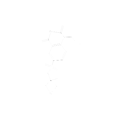 CCn1c(=O)[nH]c(=O)c2cc(S(=O)(=O)NC3(C)CNC3)ccc21